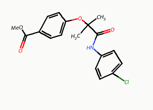 COC(=O)c1ccc(OC(C)(C)C(=O)Nc2ccc(Cl)cc2)cc1